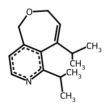 CC(C)C1=CCOCc2ccnc(C(C)C)c21